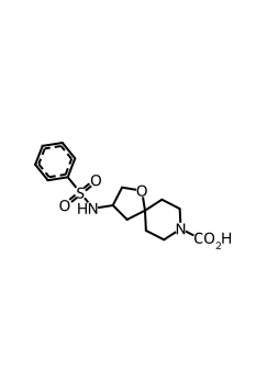 O=C(O)N1CCC2(CC1)CC(NS(=O)(=O)c1ccccc1)CO2